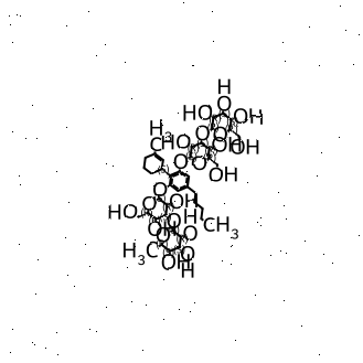 CCCCCc1cc(O[C@@H]2O[C@H](CO)[C@@H](O)[C@H](O[C@@H]3O[C@H](C)[C@@H](O)[C@H](O)[C@H]3O)[C@H]2O)c([C@@H]2C=C(C)CCC2)c(O[C@@H]2O[C@H](CO)[C@@H](O)[C@H](O[C@H]3O[C@H](CO)[C@@H](O)[C@H](O)[C@H]3O)[C@H]2O)c1